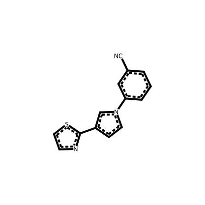 N#Cc1cccc(-n2ccc(-c3nccs3)c2)c1